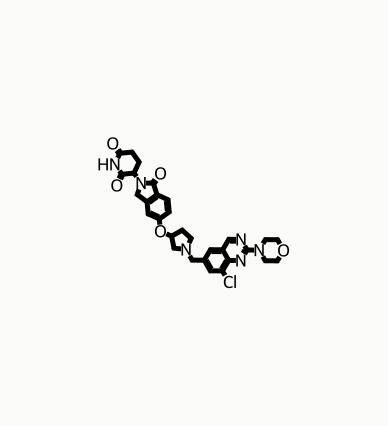 O=C1CCC(N2Cc3cc(OC4CCN(Cc5cc(Cl)c6nc(N7CCOCC7)ncc6c5)C4)ccc3C2=O)C(=O)N1